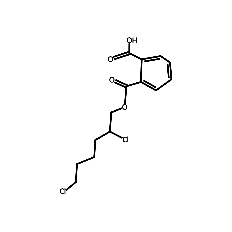 O=C(O)c1ccccc1C(=O)OCC(Cl)CCCCCl